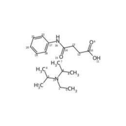 CCN(C(C)C)C(C)C.O=C(O)CCC(=O)Nc1ccccc1